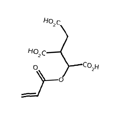 C=CC(=O)OC(C(=O)O)C(CC(=O)O)C(=O)O